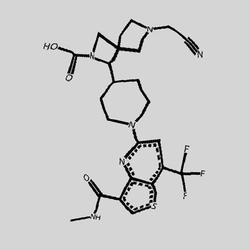 CNC(=O)c1csc2c(C(F)(F)F)cc(N3CCC(C4N(C(=O)O)CC45CN(CC#N)C5)CC3)nc12